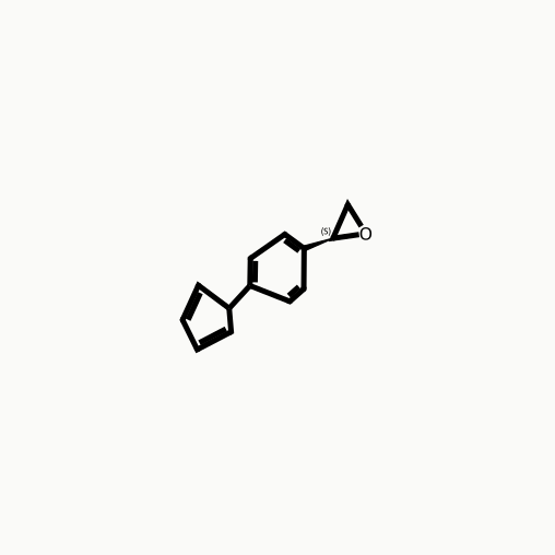 C1=CC(c2ccc([C@H]3CO3)cc2)C=C1